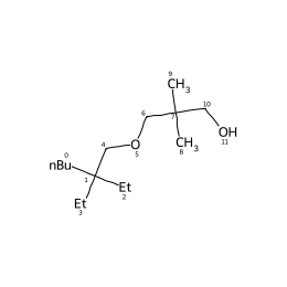 CCCCC(CC)(CC)COCC(C)(C)CO